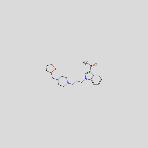 CC(=O)c1cn(CCCN2CCN(CC3CCCO3)CC2)c2ccccc12